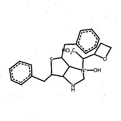 O=C(O)C(C1CCO1)[N+]1(O)CNC2C(Cc3ccccc3)SC(Cc3ccccc3)C21